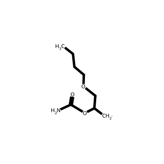 [CH2]C(COCCCC)OC(N)=O